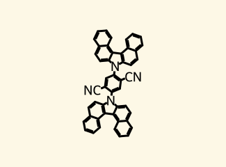 N#Cc1cc(-n2c3ccc4ccccc4c3c3c4ccccc4ccc32)c(C#N)cc1-n1c2ccc3ccccc3c2c2c3ccccc3ccc21